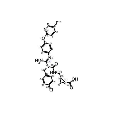 N/C(=N\c1ccc(Oc2ccc(F)cn2)cc1)N(Cc1ccc(Cl)cc1)C(=O)NC[C@@H]1C[C@@H]1C(=O)O